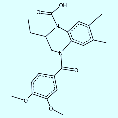 CCC1CN(C(=O)c2ccc(OC)c(OC)c2)c2cc(C)c(C)cc2N1C(=O)O